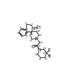 CCN1CCc2ccccc2C12CCN(CC(=O)N1CCCC(F)(F)C1)CC2